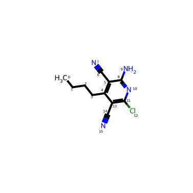 CCCCc1c(C#N)c(N)nc(Cl)c1C#N